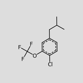 CC(C)Cc1ccc(Cl)c(OC(F)(F)F)c1